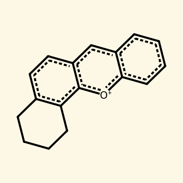 c1ccc2[o+]c3c4c(ccc3cc2c1)CCCC4